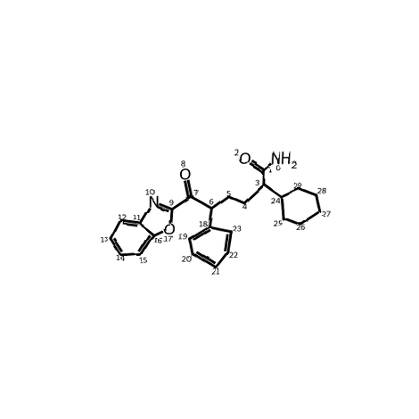 NC(=O)C(CCC(C(=O)c1nc2ccccc2o1)c1ccccc1)C1CCCCC1